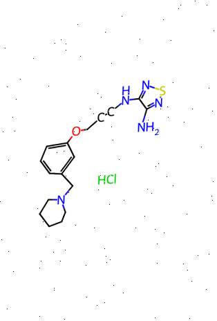 Cl.Nc1nsnc1NCCCOc1cccc(CN2CCCCC2)c1